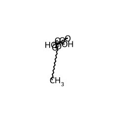 CCCCCCCCCCCCCCCCCC(=O)O[C@H]1[C@@H]([C@@H](CO)OCC=O)OC[C@@H]1O